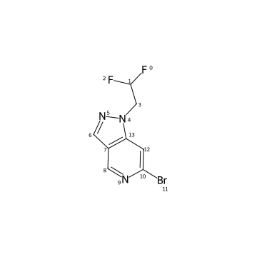 FC(F)Cn1ncc2cnc(Br)cc21